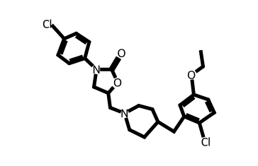 CCOc1ccc(Cl)c(CC2CCN(CC3CN(c4ccc(Cl)cc4)C(=O)O3)CC2)c1